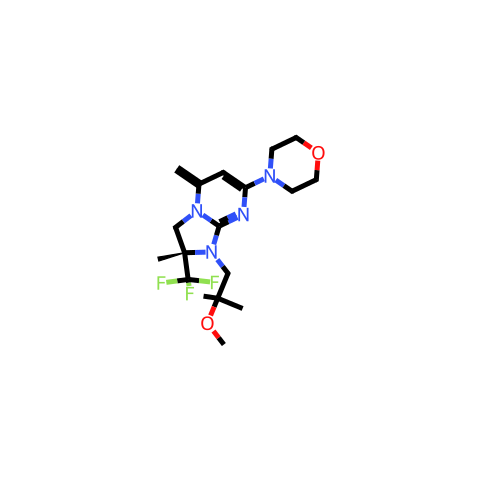 C=C1C=C(N2CCOCC2)N=C2N1C[C@@](C)(C(F)(F)F)N2CC(C)(C)OC